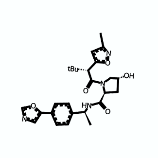 Cc1cc([C@H](C(=O)N2C[C@H](O)C[C@H]2C(=O)N[C@@H](C)c2ccc(-c3cnco3)cc2)C(C)(C)C)on1